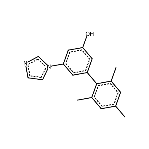 Cc1cc(C)c(-c2cc(O)cc(-n3ccnc3)c2)c(C)c1